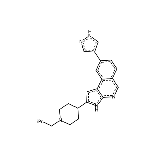 CC(C)CN1CCC(c2cc3c(ncc4ccc(-c5cn[nH]c5)cc43)[nH]2)CC1